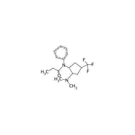 CCC(=O)N(c1ccccc1)C1CC(C(F)(F)F)CC1N(C)C